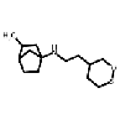 CC1CC2(NCCC3CCSOC3)CCC1C2